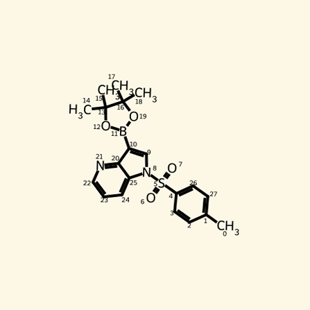 Cc1ccc(S(=O)(=O)n2cc(B3OC(C)(C)C(C)(C)O3)c3ncccc32)cc1